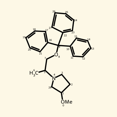 COC1CCN(C(C)COC(c2ccccc2)(c2ccccc2)c2ccccc2)C1